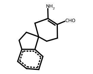 NC1=C(C=O)CCC2(CCc3ccccc32)C1